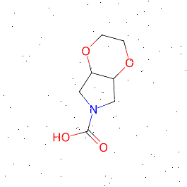 O=C(O)N1CC2OCCOC2C1